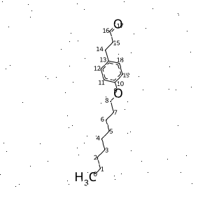 CCCCCCCCCOc1ccc(CCC=O)cc1